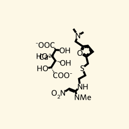 CNC(=C[N+](=O)[O-])NCCSCc1ccc(CN(C)C)o1.O=C([O-])[C@@H](O)[C@@H](O)[C@H](O)[C@@H](O)C(=O)[O-].[Ca+2]